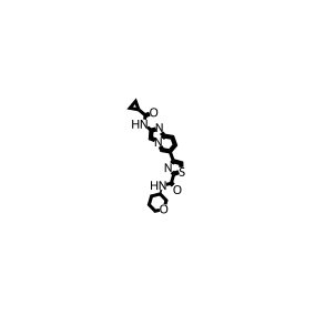 O=C(N[C@@H]1CCCOC1)c1nc(-c2ccc3nc(NC(=O)C4CC4)cn3c2)cs1